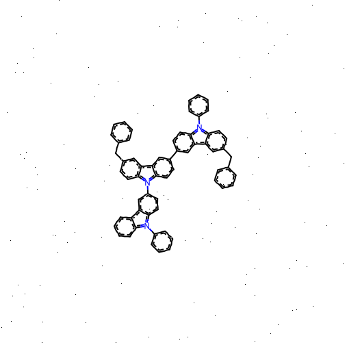 c1ccc(Cc2ccc3c(c2)c2cc(-c4ccc5c(c4)c4cc(Cc6ccccc6)ccc4n5-c4ccc5c(c4)c4ccccc4n5-c4ccccc4)ccc2n3-c2ccccc2)cc1